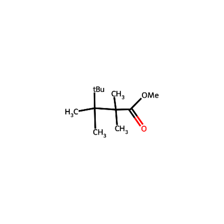 COC(=O)C(C)(C)C(C)(C)C(C)(C)C